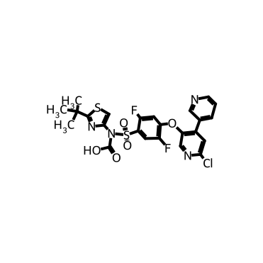 CC(C)(C)c1nc(N(C(=O)O)S(=O)(=O)c2cc(F)c(Oc3cnc(Cl)cc3-c3cccnc3)cc2F)cs1